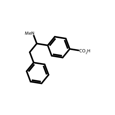 CNC(Cc1ccccc1)c1ccc(C(=O)O)cc1